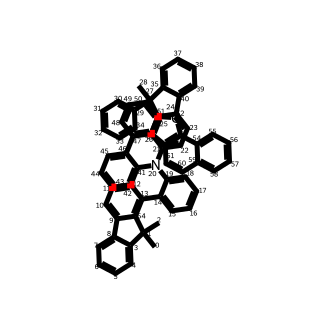 CC1(C)c2ccccc2-c2cccc(-c3ccccc3N(c3ccc4c(c3)C(C)(c3ccccc3)c3ccccc3-4)c3ccccc3-c3cccc4oc5c6ccccc6ccc5c34)c21